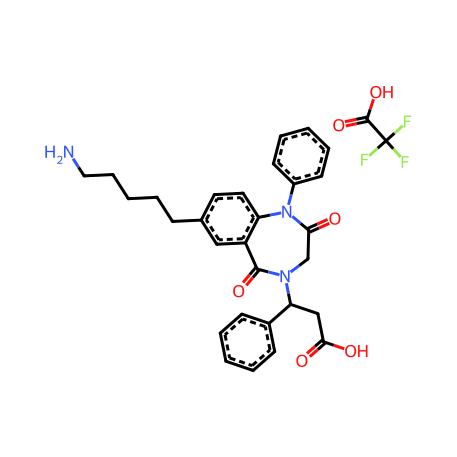 NCCCCCc1ccc2c(c1)C(=O)N(C(CC(=O)O)c1ccccc1)CC(=O)N2c1ccccc1.O=C(O)C(F)(F)F